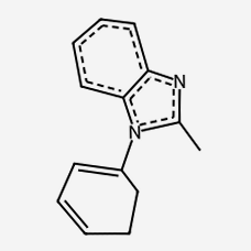 Cc1nc2ccccc2n1C1=CC=CCC1